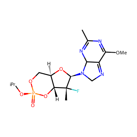 COC1=NC(C)=NC2C1=NCN2[C@@H]1O[C@@H]2CO[P@](=O)(OC(C)C)O[C@H]2[C@@]1(C)F